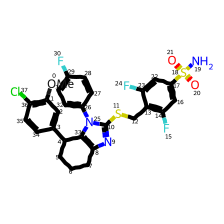 COc1cc(C2CCCc3nc(SCc4c(F)cc(S(N)(=O)=O)cc4F)n(-c4ccc(F)cc4)c32)ccc1Cl